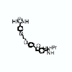 CC(C)NC(=N)c1ccc(OCCCOc2ccc(-c3cc4ccc(C(=N)NC(C)C)cc4o3)cc2)cc1